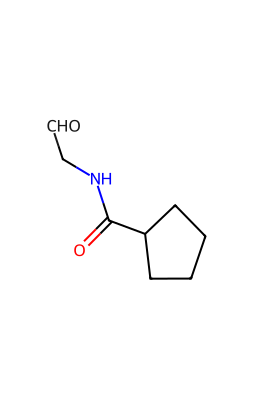 O=CCNC(=O)C1CCCC1